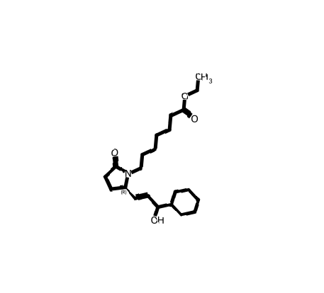 CCOC(=O)CCCCCCN1C(=O)CC[C@@H]1C=CC(O)C1CCCCC1